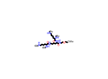 COCCOCCNC(=O)C(CCCCNC(=O)C(CCCCNC(C)(C)C)NC(C)(C)C)NC(=O)C(CCCCNC(C)(C)C)NC(C)(C)C